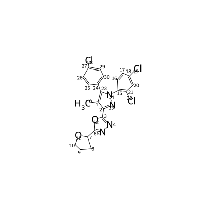 Cc1c(-c2nnc(C3CCCO3)o2)nn(-c2ccc(Cl)cc2Cl)c1-c1ccc(Cl)cc1